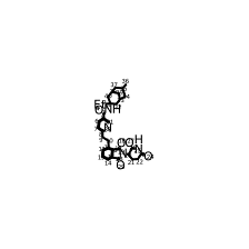 CCC1(NC(=O)c2ccc(CCc3cccc4c3C(=O)N(C3CCC(=O)NC3=O)C4=O)nc2)CC2CC(C)CC(C2)C1